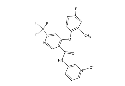 Cc1cc(F)ccc1Oc1cc(C(F)(F)F)ncc1C(=O)Nc1ccc[n+]([O-])c1